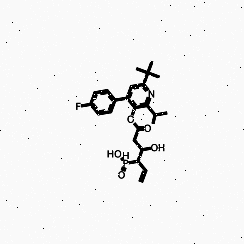 C=CC(C(O)CC(=O)Oc1c(-c2ccc(F)cc2)cc(C(C)(C)C)nc1C(C)C)[PH](=O)O